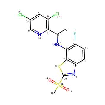 CC(Nc1c(F)ccc2nc(S(C)(=O)=O)sc12)c1ncc(Cl)cc1Cl